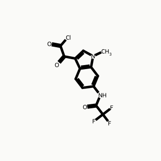 Cn1cc(C(=O)C(=O)Cl)c2ccc(NC(=O)C(F)(F)F)cc21